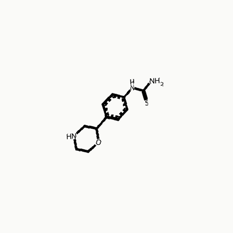 NC(=S)Nc1ccc(C2CNCCO2)cc1